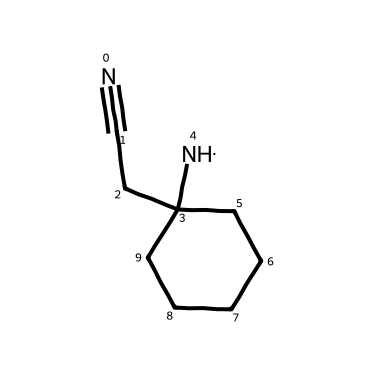 N#CCC1([NH])CCCCC1